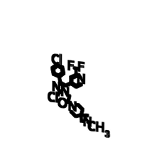 CN1CC2(CCN(C(=O)Cn3c(Cl)nc(-c4ccc(Cl)cc4)c3-c3ccnc(C(F)F)c3)CC2)C1